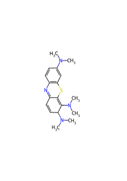 CN(C)C1=C2Sc3cc(N(C)C)ccc3N=C2C=CC1N(C)C